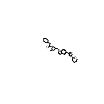 CC1CC(Cn2ccc3cc(-c4cnn(C5CCCCO5)c4)ccc32)CN1C(=O)CC1CCCCC1